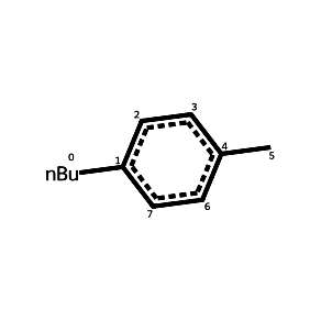 CCCCc1ccc(C)cc1